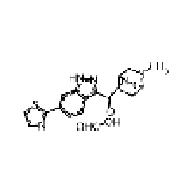 CN1CC2CCC1CN2C(=O)c1n[nH]c2cc(-c3nccs3)ccc12.O=CO